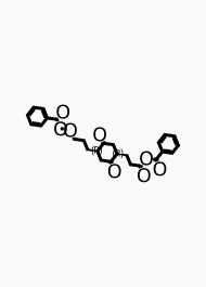 O=C(CC[C@@H]1CC(=O)[C@H](CCCOOC(=O)c2ccccc2)CC1=O)OC(=O)c1ccccc1